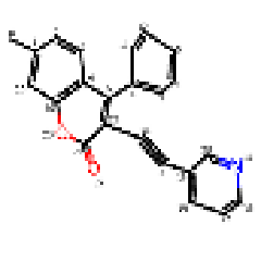 Cc1ccc2c(-c3ccccc3)c(C#Cc3cccnc3)c(=O)oc2c1